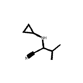 CC(C)C(C#N)NC1CC1